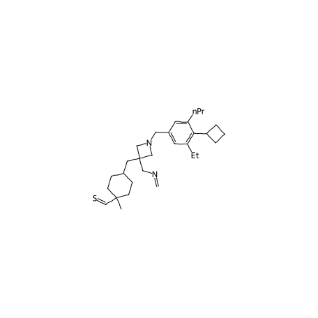 C=NCC1(CC2CCC(C)(C=S)CC2)CN(Cc2cc(CC)c(C3CCC3)c(CCC)c2)C1